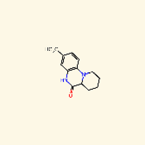 O=C(O)c1ccc2c(c1)NC(=O)C1CCCCN21